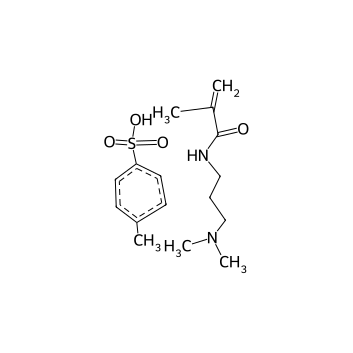 C=C(C)C(=O)NCCCN(C)C.Cc1ccc(S(=O)(=O)O)cc1